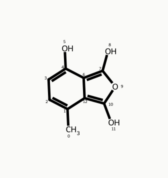 Cc1ccc(O)c2c(O)oc(O)c12